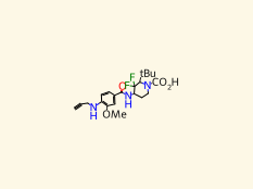 C#CCNc1ccc(C(=O)NC2CCN(C(=O)O)C(C(C)(C)C)C2(F)F)cc1OC